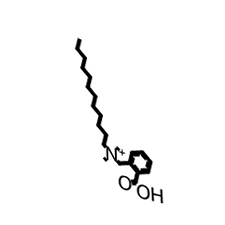 CCCCCCCCCCCC[N+](C)(C)Cc1ccccc1C(=O)O